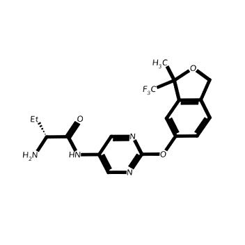 CC[C@@H](N)C(=O)Nc1cnc(Oc2ccc3c(c2)C(C)(C(F)(F)F)OC3)nc1